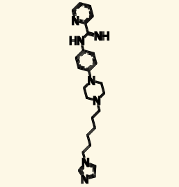 N=C(Nc1ccc(N2CCN(CCCCCCn3ccnc3)CC2)cc1)c1ccccn1